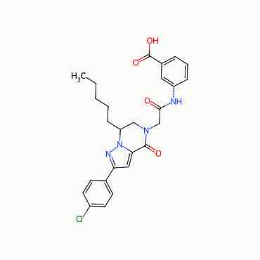 CCCCCC1CN(CC(=O)Nc2cccc(C(=O)O)c2)C(=O)c2cc(-c3ccc(Cl)cc3)nn21